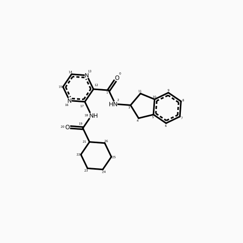 O=C(NC1Cc2ccccc2C1)c1nccnc1NC(=O)C1CCCCC1